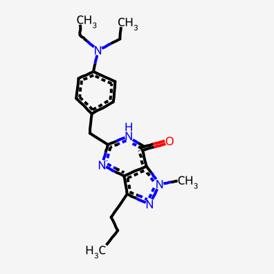 CCCc1nn(C)c2c(=O)[nH]c(Cc3ccc(N(CC)CC)cc3)nc12